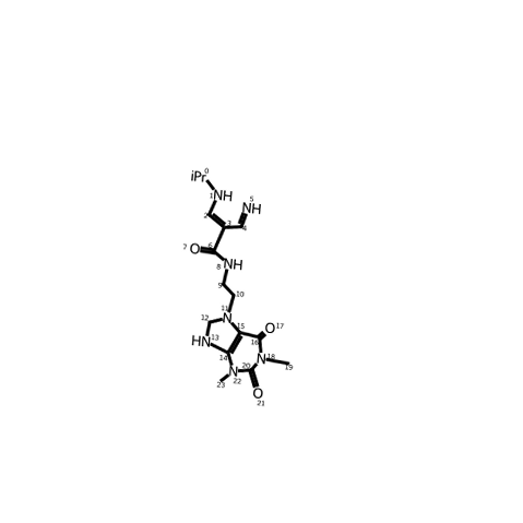 CC(C)N/C=C(\C=N)C(=O)NCCN1CNc2c1c(=O)n(C)c(=O)n2C